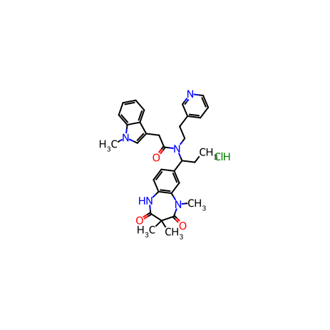 CCC(c1ccc2c(c1)N(C)C(=O)C(C)(C)C(=O)N2)N(CCc1cccnc1)C(=O)Cc1cn(C)c2ccccc12.Cl